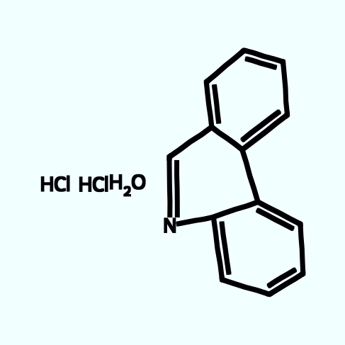 Cl.Cl.O.c1ccc2c(c1)cnc1ccccc12